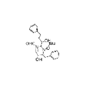 CC(O)[C](Cc1ccccc1)N(OC(C)(C)C)C(NC=O)C(O)CCc1ccccc1